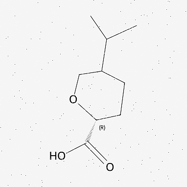 CC(C)C1CC[C@H](C(=O)O)OC1